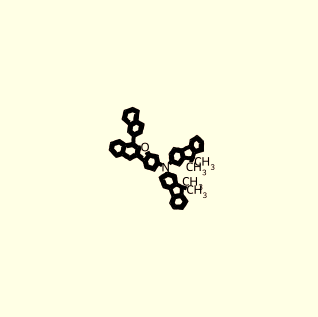 CC1(C)c2ccccc2-c2ccc(N(c3ccc4c(c3)C(C)(C)c3ccccc3-4)c3ccc4c(c3)oc3c(-c5ccc6ccccc6c5)c5ccccc5cc34)cc21